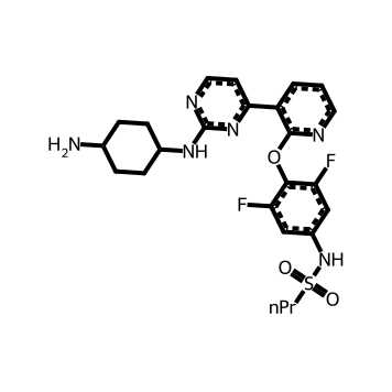 CCCS(=O)(=O)Nc1cc(F)c(Oc2ncccc2-c2ccnc(NC3CCC(N)CC3)n2)c(F)c1